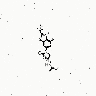 CON=c1sc2cc(N3C[C@H](CNC(C)=O)OC3=O)cc(F)c2n1C